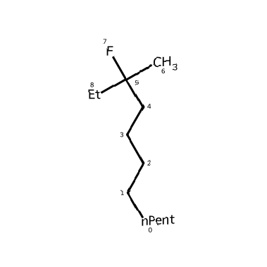 CCCCCCCCCC(C)(F)CC